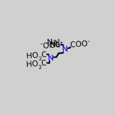 O=C([O-])CN(CCCN(CC(=O)O)CC(=O)O)CC(=O)[O-].[Na+].[Na+]